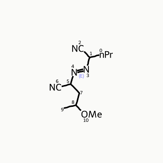 CCCC(C#N)/N=N/C(C#N)CC(C)OC